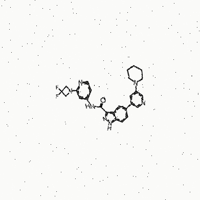 O=C(Nc1ccnc(N2CC(F)(F)C2)c1)c1n[nH]c2ccc(-c3cncc(N4CCCCC4)c3)cc12